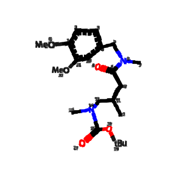 COc1ccc(CN(C)C(=O)CC(C)CN(C)C(=O)OC(C)(C)C)cc1OC